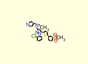 CCN(Cc1ccncc1)Cc1cc(-c2ccc(-c3cccc(S(C)(=O)=O)c3)s2)n(-c2ccccc2Cl)n1